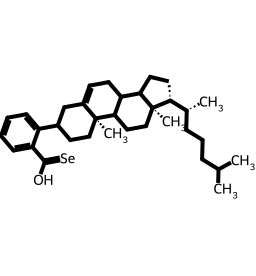 CC(C)CCC[C@@H](C)[C@H]1CCC2C3CC=C4CC(c5ccccc5C(O)=[Se])CC[C@]4(C)C3CC[C@@]21C